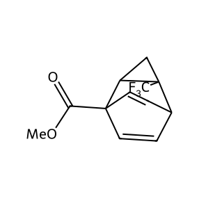 COC(=O)C12C=CC(C=C1)C1(C(F)(F)F)CC21